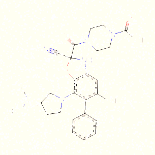 CC(=O)N1CCN(C(=O)C2(C#N)Nc3cc(C)c(-c4ccccc4)c(N4CC[C@H](N(C)C)C4)c3O2)CC1